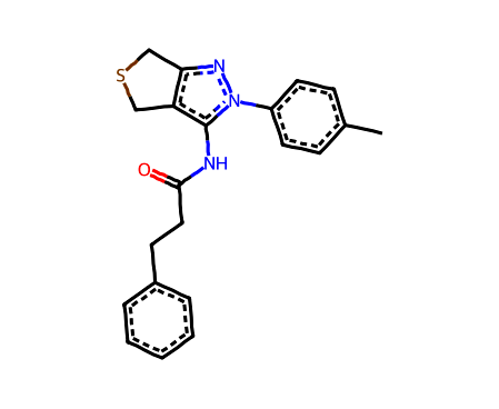 Cc1ccc(-n2nc3c(c2NC(=O)CCc2ccccc2)CSC3)cc1